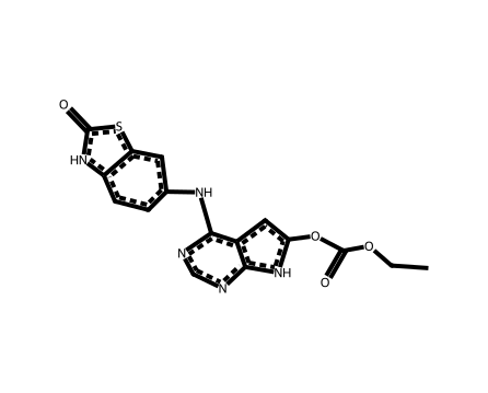 CCOC(=O)Oc1cc2c(Nc3ccc4[nH]c(=O)sc4c3)ncnc2[nH]1